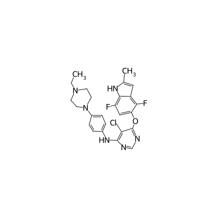 CCN1CCN(c2ccc(Nc3ncnc(Oc4cc(F)c5[nH]c(C)cc5c4F)c3Cl)cc2)CC1